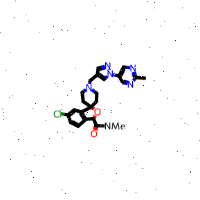 CNC(=O)C1OC2(CCN(Cc3cnn(-c4cnc(C)nc4)c3)CC2)c2cc(Cl)ccc21